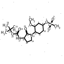 COC1CC(OS(C)(=O)=O)CCC1N1CCC(NC(=O)OC(C)(C)C)C1=O